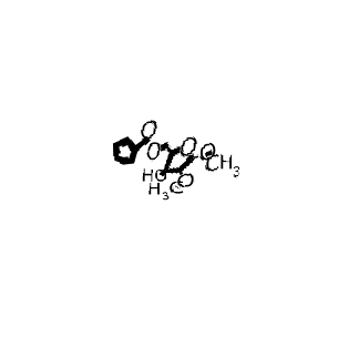 CO[C@H]1O[C@H](COC(=O)c2ccccc2)C(O)[C@@H]1OC